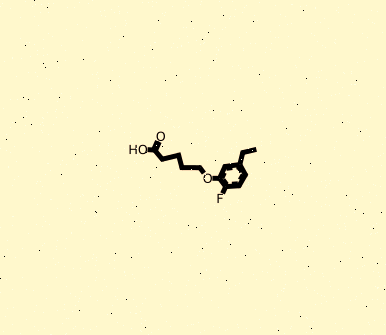 CCc1ccc(F)c(OCCCCC(=O)O)c1